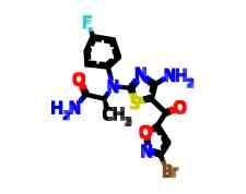 C[C@@H](C(N)=O)N(c1ccc(F)cc1)c1nc(N)c(C(=O)c2cc(Br)no2)s1